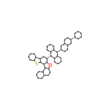 c1ccc(-c2ccc3cc(-c4c5ccccc5c(-c5cc6c7ccccc7sc6c6c5oc5ccc7ccccc7c56)c5ccccc45)ccc3c2)cc1